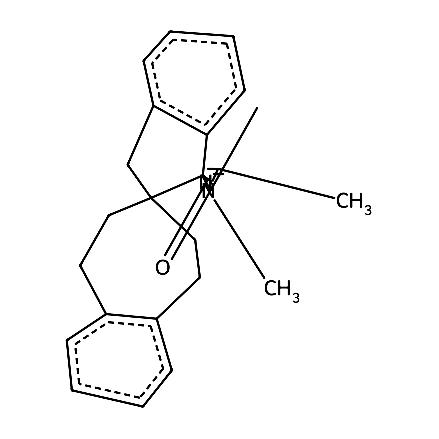 CC1=NC2(C(=O)N1C)c1ccccc1CC21CCc2ccccc2CC1